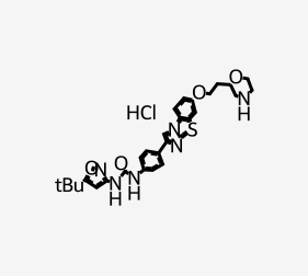 CC(C)(C)c1cc(NC(=O)Nc2ccc(-c3cn4c(n3)sc3cc(OCCC5CNCCO5)ccc34)cc2)no1.Cl